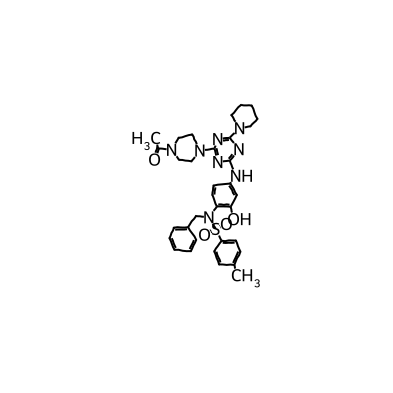 CC(=O)N1CCN(c2nc(Nc3ccc(N(Cc4ccccc4)S(=O)(=O)c4ccc(C)cc4)c(O)c3)nc(N3CCCCC3)n2)CC1